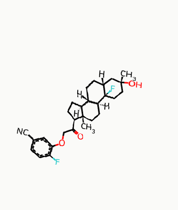 C[C@@]1(O)CC[C@@]2(F)[C@H](CC[C@H]3[C@@H]4CC[C@H](C(=O)COc5cc(C#N)ccc5F)[C@@]4(C)CC[C@@H]32)C1